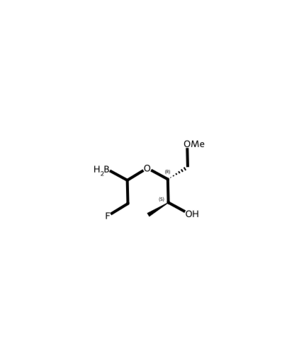 BC(CF)O[C@H](COC)[C@H](C)O